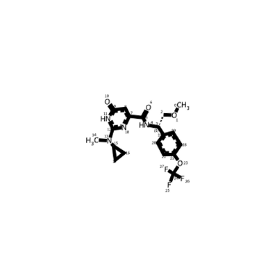 COC[C@@H](NC(=O)c1cc(=O)[nH]c(N(C)C2CC2)n1)c1ccc(OC(F)(F)F)cc1